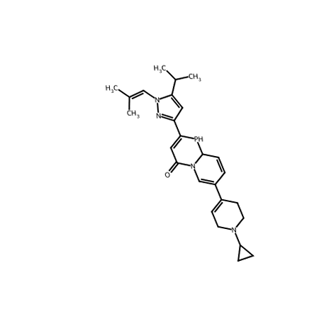 CC(C)=Cn1nc(C2=CC(=O)N3C=C(C4=CCN(C5CC5)CC4)C=CC3P2)cc1C(C)C